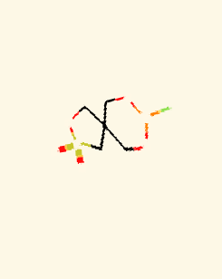 O=S1(=O)CC2(COP(F)OC2)CO1